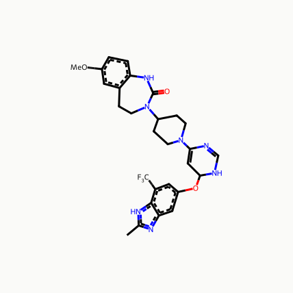 COc1ccc2c(c1)CCN(C1CCN(C3=CC(Oc4cc(C(F)(F)F)c5[nH]c(C)nc5c4)NC=N3)CC1)C(=O)N2